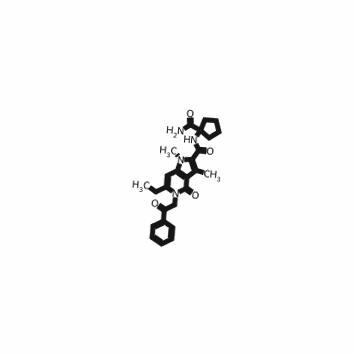 CCc1cc2c(c(C)c(C(=O)NC3(C(N)=O)CCCC3)n2C)c(=O)n1CC(=O)c1ccccc1